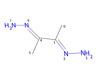 CC(=N\N)/C(C)=N/N